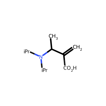 C=C(C(=O)O)C(C)N(C(C)C)C(C)C